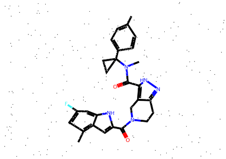 Cc1ccc(C2(N(C)C(=O)c3[nH]nc4c3CN(C(=O)c3cc5c(C)cc(F)cc5[nH]3)CC4)CC2)cc1